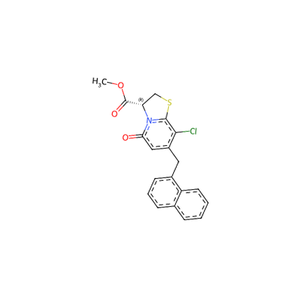 COC(=O)[C@@H]1CSc2c(Cl)c(Cc3cccc4ccccc34)cc(=O)n21